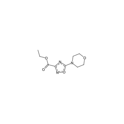 CCOC(=O)c1noc(N2CCOCC2)n1